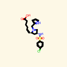 O=C(O)CCC/C=C\[C@@H]1C[C@@H](NS(=O)(=O)c2ccc(Cl)cc2)CN1Cc1ccc[nH]1